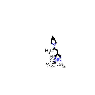 CC(Cc1cnn(C(C)(C)C)c1)N1CC2CC2C1